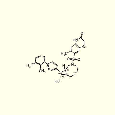 Cc1cc2c(cc1S(=O)(=O)N1CCCCN3[C@H](O)[C@@H](c4ccc(-c5cccc(C)c5C)cc4)[C@@H]3C1)OCC(=O)N2